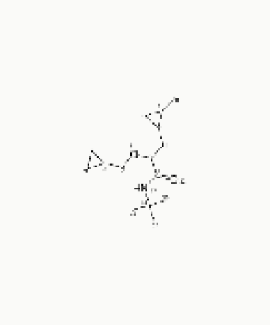 CC1CC1CC(OCC1CC1)C(=O)NC(C)(C)C